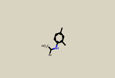 CC(=O)C(Nc1ccc(C)cc1C)C(=O)O